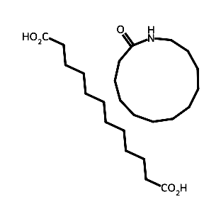 O=C(O)CCCCCCCCCCC(=O)O.O=C1CCCCCCCCCCCN1